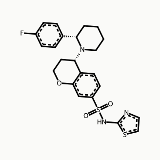 O=S(=O)(Nc1nccs1)c1ccc2c(c1)OCC[C@@H]2N1CCCC[C@H]1c1ccc(F)cc1